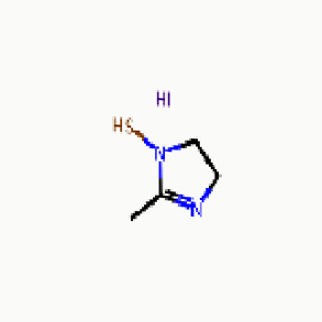 CC1=NCCN1S.I